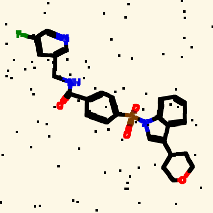 O=C(NCc1cncc(F)c1)c1ccc(S(=O)(=O)n2cc(C3CCOCC3)c3ccccc32)cc1